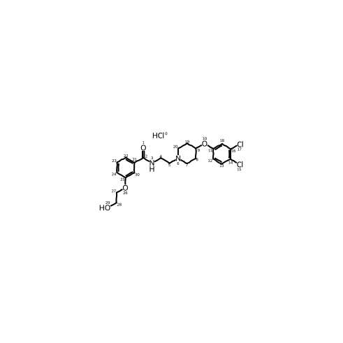 Cl.O=C(NCCN1CCC(Oc2ccc(Cl)c(Cl)c2)CC1)c1cccc(OCCO)c1